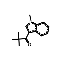 Cn1cc(C(=O)C(C)(C)C)c2ccccc21